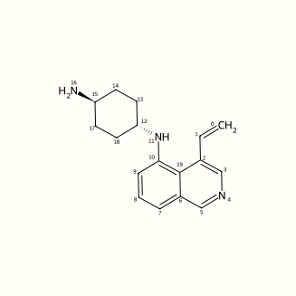 C=Cc1cncc2cccc(N[C@H]3CC[C@H](N)CC3)c12